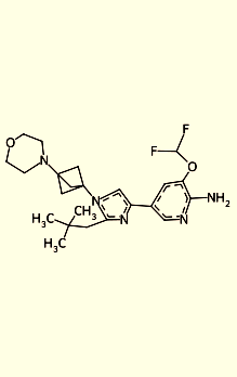 CC(C)(C)Cc1nc(-c2cnc(N)c(OC(F)F)c2)cn1C12CC(N3CCOCC3)(C1)C2